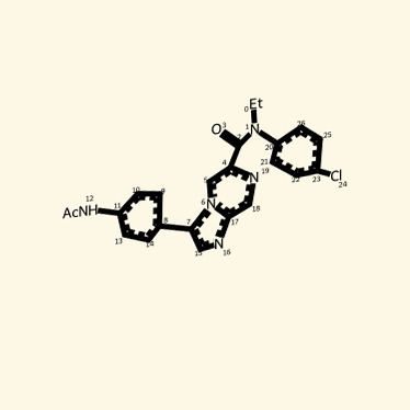 CCN(C(=O)c1cn2c(-c3ccc(NC(C)=O)cc3)cnc2cn1)c1ccc(Cl)cc1